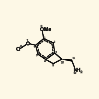 COc1cc2c(cc1OCl)C[C@@H]2CN